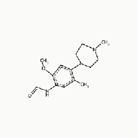 COc1cc(C2CCN(C)CC2)c(C)cc1NC=O